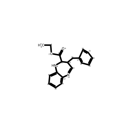 CCOC(=O)C1Nc2ccccc2N=CC1Cc1ccccc1